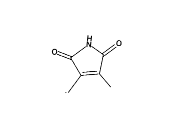 [CH2]C1=C(C)C(=O)NC1=O